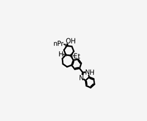 CCC[C@@]1(O)CC[C@@]2(CC)c3ccc(-c4nc5ccccc5[nH]4)cc3CCC[C@H]2C1